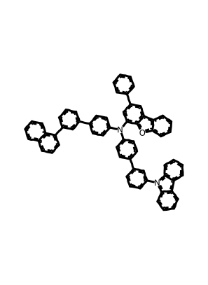 c1ccc(-c2cc(N(c3ccc(-c4cccc(-c5cccc6ccccc56)c4)cc3)c3ccc(-c4cccc(-n5c6ccccc6c6ccccc65)c4)cc3)c3oc4ccccc4c3c2)cc1